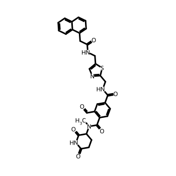 CN(C(=O)c1ccc(C(=O)NCc2ncc(CNC(=O)Cc3cccc4ccccc34)s2)cc1C=O)C1CCC(=O)NC1=O